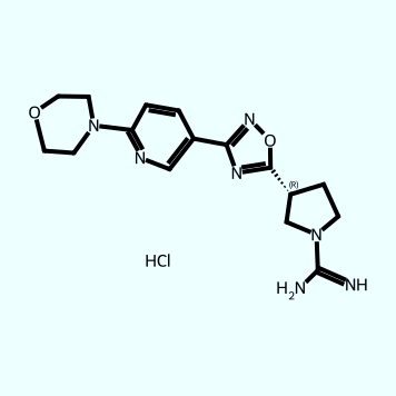 Cl.N=C(N)N1CC[C@@H](c2nc(-c3ccc(N4CCOCC4)nc3)no2)C1